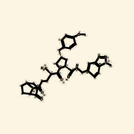 COc1ccc(C[C@@H]2C[C@@H](C(=O)NCc3ccc4c(c3)nnn4C)N(C(=O)[C@H](N)CCC(=O)N3C4CCC3C(=O)NC4)C2)cc1